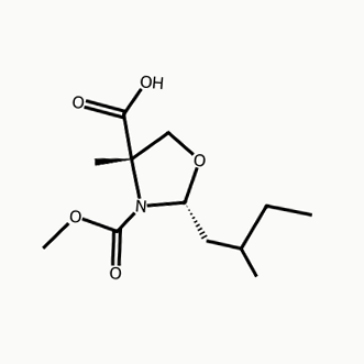 CCC(C)C[C@H]1OC[C@@](C)(C(=O)O)N1C(=O)OC